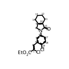 CCOC(=O)/C(Cl)=C/c1cc(N2CC3=C(CCCC3)C2=O)ccc1Cl